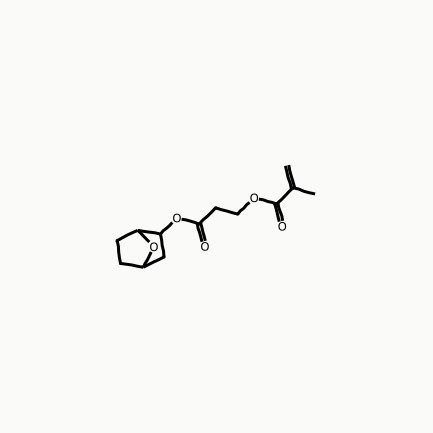 C=C(C)C(=O)OCCC(=O)OC1CC2CCC1O2